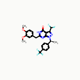 COc1ccc(Cc2nc3c(c(C(F)F)nn3[C@@H](C)c3ccc(C(F)(F)F)cc3)c(=O)[nH]2)cc1OC